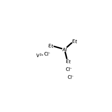 C[CH2][Al]([CH2]C)[CH2]C.[Cl-].[Cl-].[Cl-].[V+3]